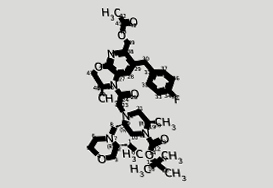 CC[C@@H]1COCCN1C[C@H]1CN(C(=O)OC(C)(C)C)[C@H](C)CN1CC(=O)N1c2cc(Cc3ccc(F)cc3)c(COC(C)=O)nc2OC[C@@H]1C